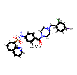 COc1cc(NS(=O)(=O)c2cccc3cccnc23)ccc1C(=O)N1CCN(Cc2ccc(I)cc2Cl)CC1